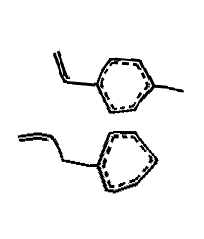 C=CCc1ccccc1.C=Cc1ccc(C)cc1